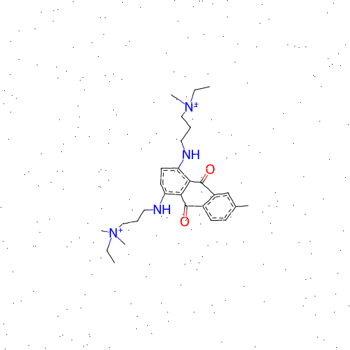 CC[N+](C)(C)CCCNc1ccc(NCCC[N+](C)(C)CC)c2c1C(=O)c1ccc(C)cc1C2=O